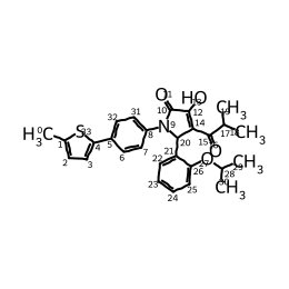 Cc1ccc(-c2ccc(N3C(=O)C(O)=C(C(=O)C(C)C)C3c3ccccc3OC(C)C)cc2)s1